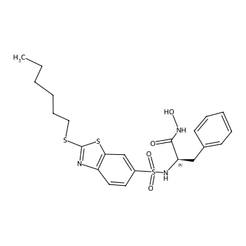 CCCCCCSc1nc2ccc(S(=O)(=O)N[C@H](Cc3ccccc3)C(=O)NO)cc2s1